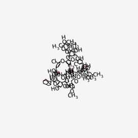 CCOc1ccc(CC(=O)NC(=O)C2NC(=O)[C@H](NC(=O)[C@@H](CC(C)C)NC)[C@H](O)c3ccc(c(C)c3)Oc3cc4cc(c3O[C@@H]3C[C@H](CO)[C@@H](O)[C@H](O)[C@H]3O[C@H]3C[C@](C)(N)[C@H](O)[C@H](C)O3)Oc3ccc(cc3Cl)[C@@H](O)[C@@H]3NC(=O)[C@H](NC(=O)[C@@H]4NC2=O)c2ccc(O)c(c2)-c2c(O)cc(O)cc2[C@@H](C(=O)NC2C4CC5CC(C4)CC2C5)NC3=O)cc1